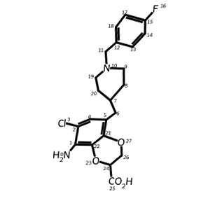 Nc1c(Cl)cc(CC2CCN(Cc3ccc(F)cc3)CC2)c2c1OC(C(=O)O)CO2